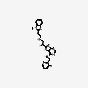 Fc1cccnc1CNc1ncnc2sc(C(F)CNCCc3nc4ccccc4[nH]3)nc12